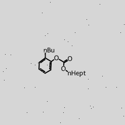 CCCCCCCOC(=O)Oc1ccccc1CCCC